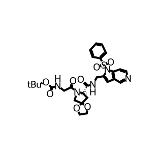 CC(C)(C)OC(=O)NCC(=O)N1CC2(C[C@H]1C(=O)NCc1cc3cnccc3n1S(=O)(=O)c1ccccc1)OCCO2